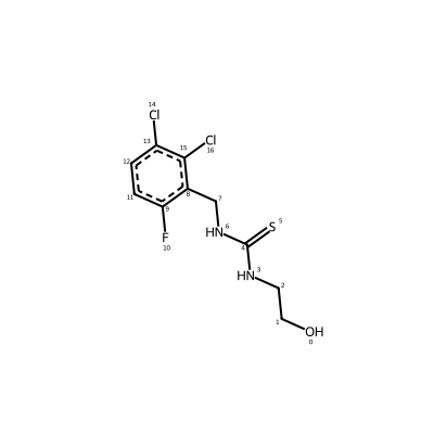 OCCNC(=S)NCc1c(F)ccc(Cl)c1Cl